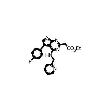 CCOC(=O)Cc1nc(NCc2ccccn2)c2c(-c3ccc(F)cc3)csc2n1